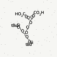 CC(C)(C)[Si](C)(C)OCCOCC(COCCO[Si](C)(C)C(C)(C)C)OCCOCCOC(COOCC(=O)O)COOCC(=O)O